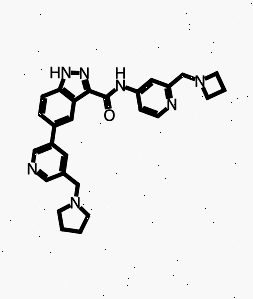 O=C(Nc1ccnc(CN2CCC2)c1)c1n[nH]c2ccc(-c3cncc(CN4CCCC4)c3)cc12